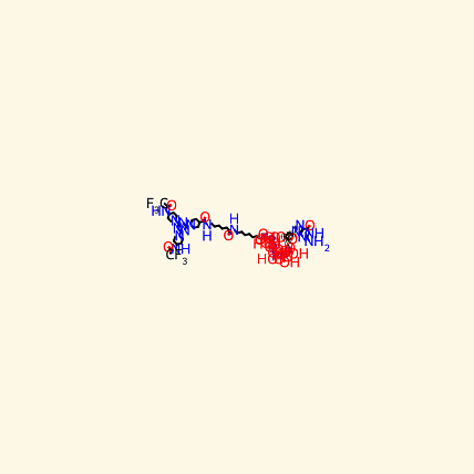 Nc1nc2c(ncn2[C@H]2C[C@@H](O)[C@@H](COP(=O)(O)OP(=O)(O)OP(=O)(O)OP(=O)(O)OP(=O)(O)OP(=O)(O)OCCCCCCNC(=O)CCCCCNC(=O)C3CCN(c4nc(N5CCC(NC(=O)C(F)(F)F)CC5)nc(N5CCC(NC(=O)C(F)(F)F)CC5)n4)CC3)O2)c(=O)[nH]1